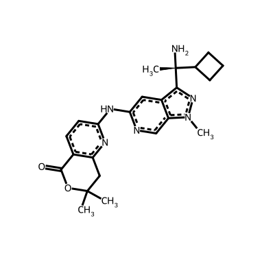 Cn1nc([C@](C)(N)C2CCC2)c2cc(Nc3ccc4c(n3)CC(C)(C)OC4=O)ncc21